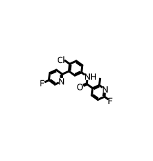 Cc1nc(F)ccc1C(=O)Nc1ccc(Cl)c(-c2ccc(F)cn2)c1